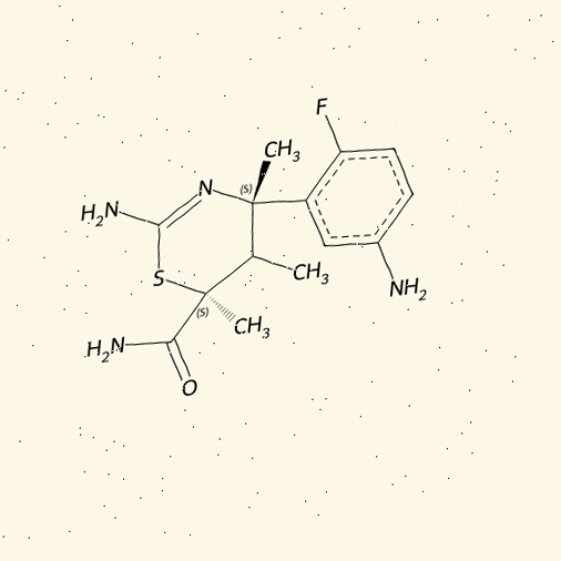 CC1[C@@](C)(C(N)=O)SC(N)=N[C@]1(C)c1cc(N)ccc1F